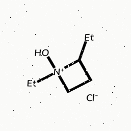 CCC1CC[N+]1(O)CC.[Cl-]